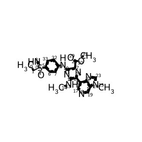 CC[S@](=N)(=O)c1ccc(Nc2nc(NC)c(-c3cncc4c3ncn4C)nc2C(=O)OC)cc1